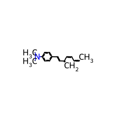 C=C(/C=C\C=C/C)/C=C/c1ccc(N(C)C)cc1